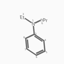 [CH2]CCN(CC)c1ccccc1